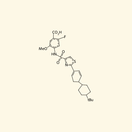 COc1cc(C(=O)O)c(F)cc1NS(=O)(=O)c1csc(C2=CCC(C3CCC(C(C)(C)C)CC3)C=C2)n1